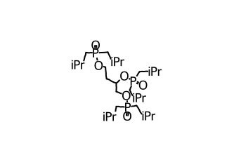 CC(C)CP(=O)(CC(C)C)OCCC(COP(=O)(CC(C)C)CC(C)C)OP(=O)(CC(C)C)CC(C)C